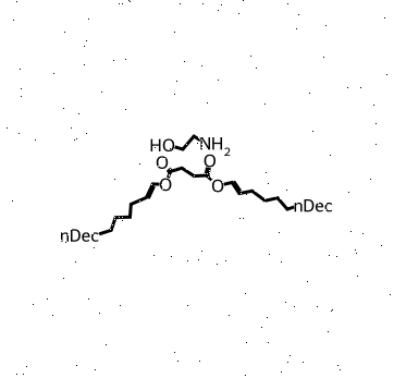 CCCCCCCCCCCCCCC=COC(=O)CCC(=O)OC=CCCCCCCCCCCCCCC.NCCO